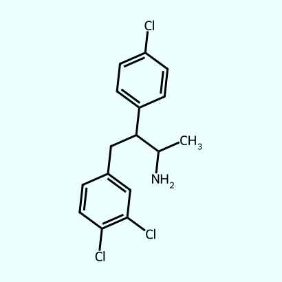 CC(N)C(Cc1ccc(Cl)c(Cl)c1)c1ccc(Cl)cc1